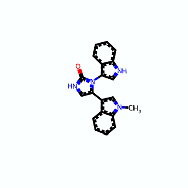 Cn1cc(-c2c[nH]c(=O)n2-c2c[nH]c3ccccc23)c2ccccc21